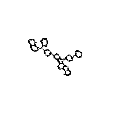 c1ccc(-c2ccc(-n3c4ccc(-c5ccc6c(c5)-c5ccccc5C6c5cccc6ccccc56)cc4c4ccc5c6ccccc6oc5c43)cc2)cc1